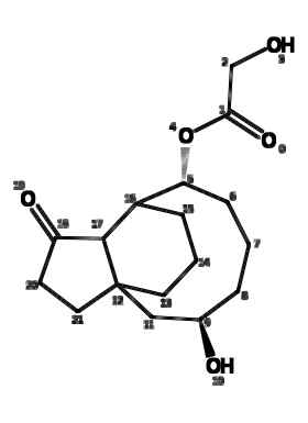 O=C(CO)O[C@@H]1CCC[C@@H](O)CC23CCCC1C2C(=O)CC3